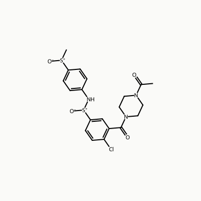 CC(=O)N1CCN(C(=O)c2cc([S+]([O-])Nc3ccc([S+](C)[O-])cc3)ccc2Cl)CC1